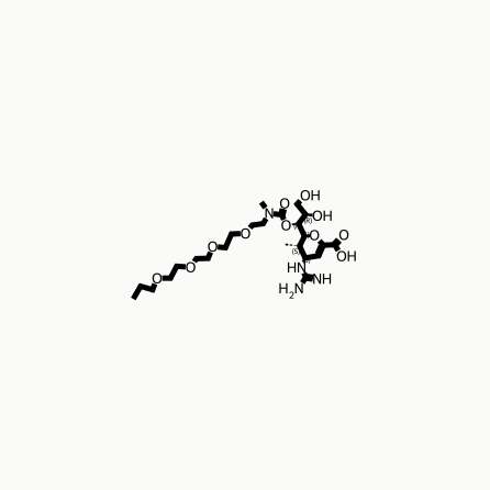 CCCOCCOCCOCCOCCN(C)C(=O)O[C@@H]([C@H]1OC(C(=O)O)=C[C@@H](NC(=N)N)[C@@H]1C)[C@H](O)CO